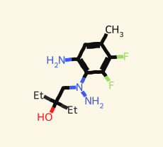 CCC(O)(CC)CN(N)c1c(N)cc(C)c(F)c1F